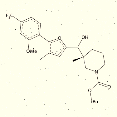 COc1cc(C(F)(F)F)ccc1-c1oc(C(O)[C@]2(C)CCCN(C(=O)OC(C)(C)C)C2)cc1C